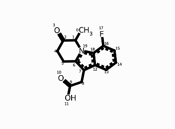 CC1C(=O)CCc2c(CC(=O)O)c3cccc(F)c3n21